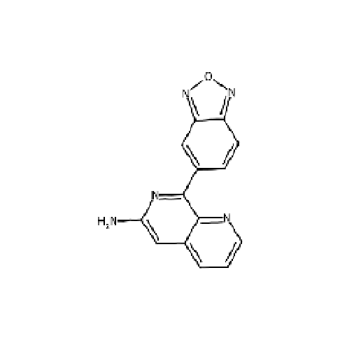 Nc1cc2cccnc2c(-c2ccc3nonc3c2)n1